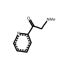 CNCC(=O)c1ccccn1